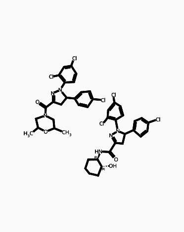 CC1CN(C(=O)C2=NN(c3ccc(Cl)cc3Cl)C(c3ccc(Cl)cc3)C2)CC(C)O1.O=C(N[C@@H]1CCCC[C@H]1O)C1=NN(c2ccc(Cl)cc2Cl)C(c2ccc(Cl)cc2)C1